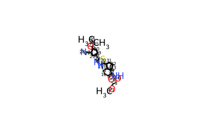 COCCS(=O)(=O)N[C@@H]1CCCc2c(-c3nnc(-c4ccc(OC(C)C)c(C#N)c4)s3)cccc21